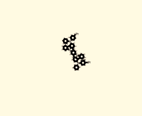 CC(C)c1ccc(N(c2ccccc2)c2ccc3c4cc5c(cc4n4c6cccc(C(C)C)c6c2c34)c2ccc(N(c3ccccc3)c3ccc(C(C)C)cc3)c3c4c(C(C)C)cccc4n5c23)cc1